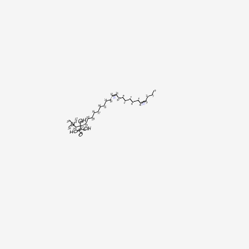 CCC/C=C\CCCCCC/C=C\CCCCCCCCCC(O)(C[N+](C)(C)C)P(=O)(O)O